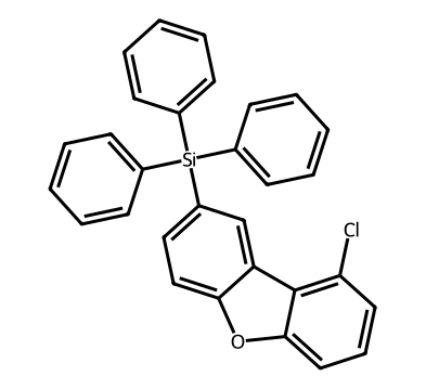 Clc1cccc2oc3ccc([Si](c4ccccc4)(c4ccccc4)c4ccccc4)cc3c12